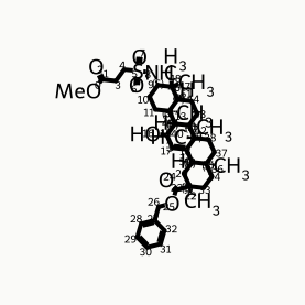 COC(=O)CCS(=O)(=O)N[C@H]1CC[C@]2(C)[C@H]3C(O)C=C4[C@@H]5C[C@@](C)(C(=O)OCc6ccccc6)CC[C@]5(C)CC[C@@]4(C)[C@]3(C)CC[C@H]2C1(C)C